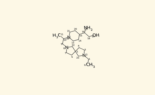 CCN1CCC2(CCN(CC(C)N3CCC(C(N)CO)CC3)C2)C1